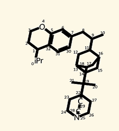 CC(C)C1CCOc2cc(CC(C)C3CC4CCC3CC4C(C)(C)C34CCN(CC3)CC4)ccc21